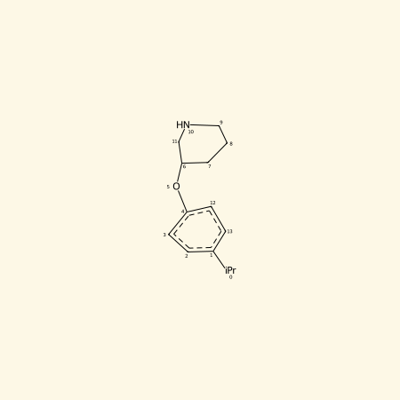 CC(C)c1ccc(OC2CCCNC2)cc1